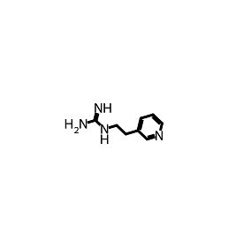 N=C(N)NCCc1cccnc1